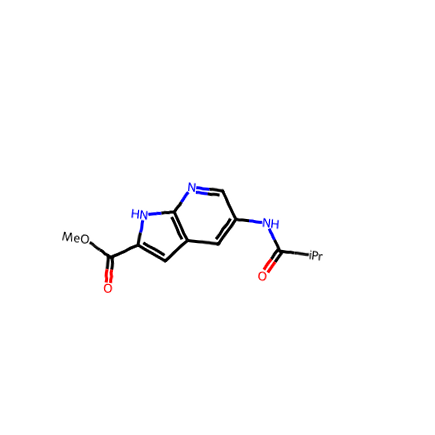 COC(=O)c1cc2cc(NC(=O)C(C)C)cnc2[nH]1